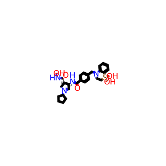 O=C(N[C@@H]1CN(C2CCCC2)C[C@@H]1C(=O)NO)c1ccc(CN2CCS(O)(O)c3ccccc32)cc1